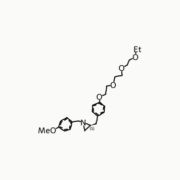 CCOCCOCCOCCOc1ccc(C[C@H]2CN2Cc2ccc(OC)cc2)cc1